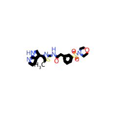 Cc1sc(NC(=O)Cc2cccc(S(=O)(=O)N3CCOCC3)c2)nc1-c1c[nH]c2ncccc12